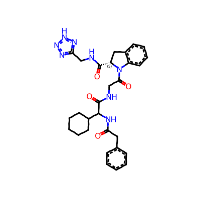 O=C(Cc1ccccc1)NC(C(=O)NCC(=O)N1c2ccccc2C[C@H]1C(=O)NCc1nn[nH]n1)C1CCCCC1